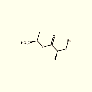 CCO[C@@H](C)C(=O)O[C@H](C)C(=O)O